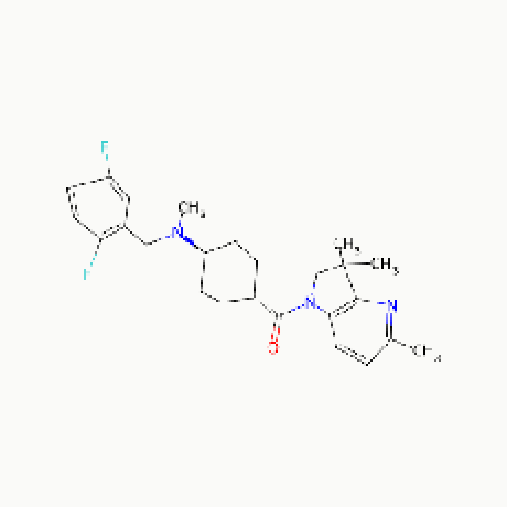 Cc1ccc2c(n1)C(C)(C)CN2C(=O)[C@H]1CC[C@H](N(C)Cc2cc(F)ccc2F)CC1